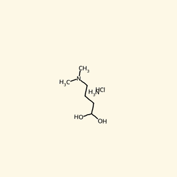 CN(C)CCCC(O)O.Cl.N